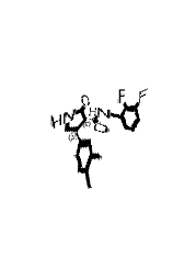 Cc1ccc([C@H]2CNC(=O)[C@@H]2C(=O)Nc2cccc(F)c2F)cc1C